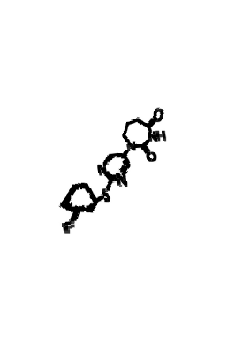 O=C1CCCN(c2cnc(Sc3cccc(F)c3)nc2)C(=O)N1